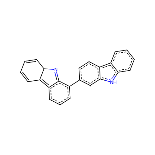 [c]1c(-c2cccc3c2=NC2C=CC=CC=32)ccc2c1[nH]c1ccccc12